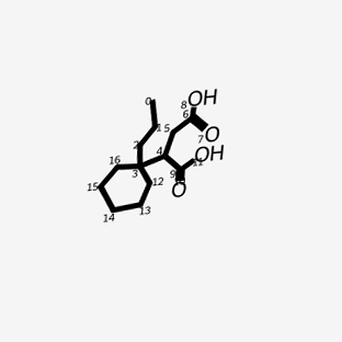 CCCC1(C(CC(=O)O)C(=O)O)CCCCC1